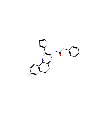 O=C(Cc1ccccc1)Nc1nc2c(nc1-c1cccs1)-c1ccc(O)cc1CC2